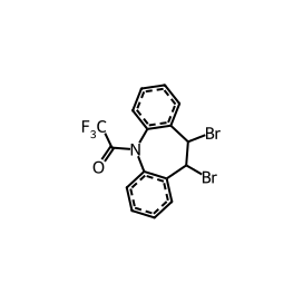 O=C(N1c2ccccc2C(Br)C(Br)c2ccccc21)C(F)(F)F